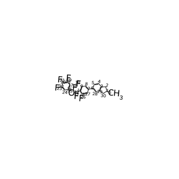 CC1Cc2ccc(-c3cc(F)c(C(F)(F)Oc4cc(F)c(F)c(F)c4)c(F)c3)cc2C1